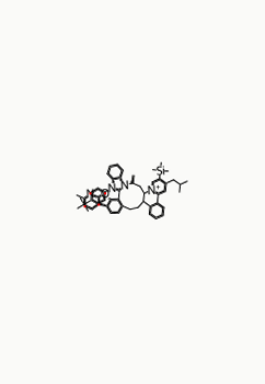 C=C1CC2C(CCc3ccc4c(oc5nc(C)ccc54)c3-c3n(-c4ccc(C(C)(C)C)cc4)c4ccccc4[n+]31)c1ccccc1-c1cc(CC(C)C)c([Si](C)(C)C)c[n+]12